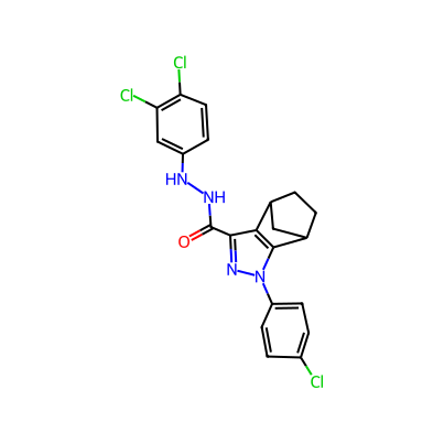 O=C(NNc1ccc(Cl)c(Cl)c1)c1nn(-c2ccc(Cl)cc2)c2c1C1CCC2C1